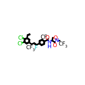 C=Cc1cc(C(/C=C(\F)c2ccc(C(=O)NC3CON(CC(F)(F)F)C3=O)c(C(F)(F)F)c2)C(F)(F)F)cc(Cl)c1Cl